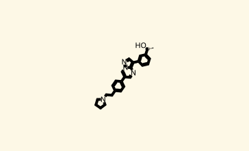 C[C@@H](O)c1cccc(-c2cnn3cc(-c4ccc(CCN5CCCC5)cc4)cnc23)c1